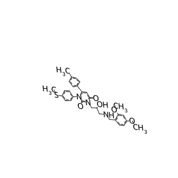 COc1ccc(CNCC(O)Cn2c(=O)cc(-c3ccc(C)cc3)n(-c3ccc(SC)cc3)c2=O)c(OC)c1